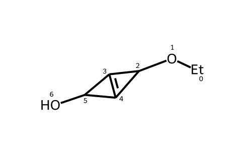 CCOC1C2=C1C2O